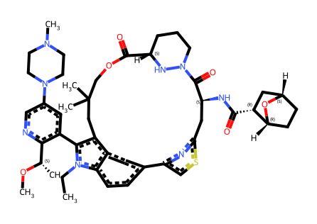 CCn1c(-c2cc(N3CCN(C)CC3)cnc2[C@H](C)OC)c2c3cc(ccc31)-c1csc(n1)C[C@H](NC(=O)[C@@H]1C[C@@H]3CC[C@H]1O3)C(=O)N1CCC[C@H](N1)C(=O)OCC(C)(C)C2